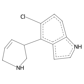 Clc1ccc2[nH]ccc2c1C1C=CCNC1